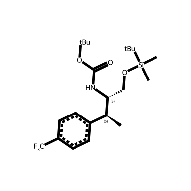 C[C@@H](c1ccc(C(F)(F)F)cc1)[C@@H](CO[Si](C)(C)C(C)(C)C)NC(=O)OC(C)(C)C